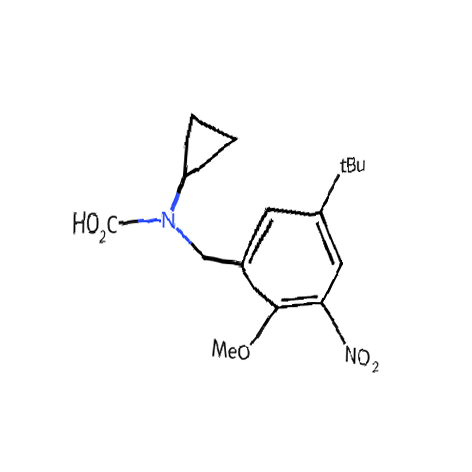 COc1c(CN(C(=O)O)C2CC2)cc(C(C)(C)C)cc1[N+](=O)[O-]